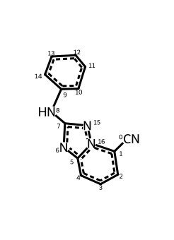 N#Cc1cccc2nc(Nc3ccccc3)nn12